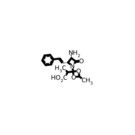 CC1OC(C(C)C(=O)O)(N2C(=O)[C@@H](N)[C@H]2C=Cc2ccccc2)O1